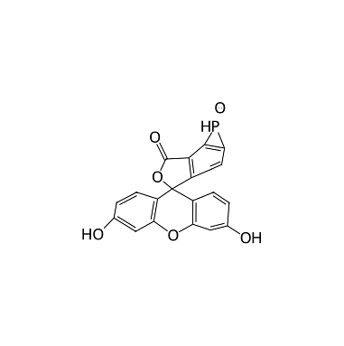 O=C1OC2(c3ccc(O)cc3Oc3cc(O)ccc32)c2ccc3c(c21)[PH]3=O